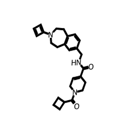 O=C(NCc1ccc2c(c1)CCN(C1=CC=C1)CC2)C1=CCN(C(=O)C2CCC2)CC1